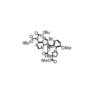 COC(=O)C1(NC(=O)OC(C)(C)C)CCN(c2c(OC)ccc(Br)c2Cn2cnc3c(N(C(=O)OC(C)(C)C)C(=O)OC(C)(C)C)ncnc32)C1